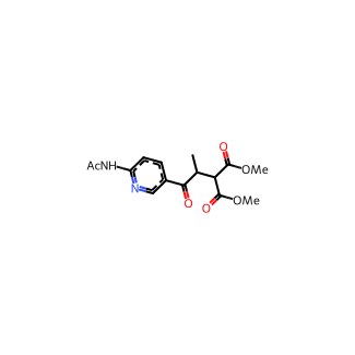 COC(=O)C(C(=O)OC)C(C)C(=O)c1ccc(NC(C)=O)nc1